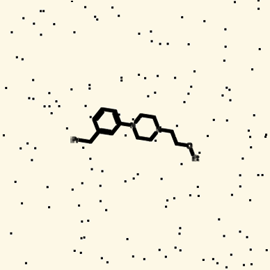 CCOCCN1CCN(c2cccc(CC(C)C)c2)CC1